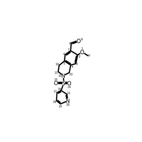 COc1cc2c(cc1C=O)CCN(S(=O)(=O)c1cccnc1)C2